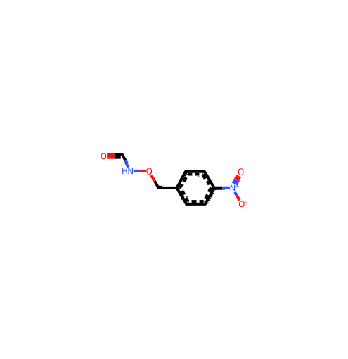 O=CNOCc1ccc([N+](=O)[O-])cc1